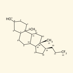 CC12CCC(O)CC1CCC1C2CC[C@@]2(C)C1CC[C@@H]2CCC(F)(F)F